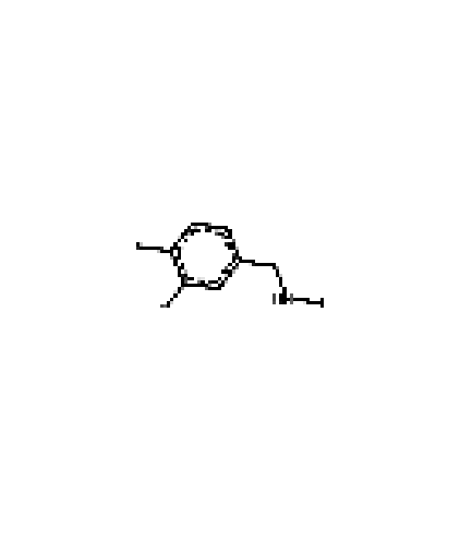 Cc1ccc(CNI)cc1F